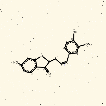 COc1cc(/C=C\CC2Oc3cc(O)ccc3C2=O)ccc1O